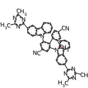 Cc1nc(C)nc(-c2ccc3c(c2)c2ccccc2n3-c2cc(C#N)cc(-n3c4ccccc4c4cc(-c5nc(C)nc(C)n5)ccc43)c2-c2ccc(C#N)cc2C)n1